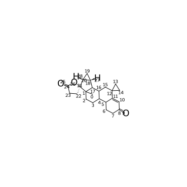 CC12CCC3C4CCC(=O)C=C4C4(CC4)CC3C1[C@H]1C[C@H]1[C@@]21CCC(=O)O1